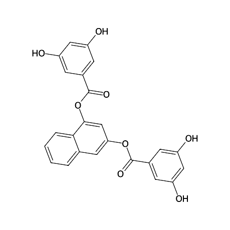 O=C(Oc1cc(OC(=O)c2cc(O)cc(O)c2)c2ccccc2c1)c1cc(O)cc(O)c1